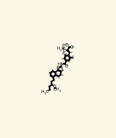 CCCC(CCc1cccc2c1CCc1sc(NC(=O)c3cc(F)c(C=C(OC)C(=O)O)c(F)c3)nc1-2)OC